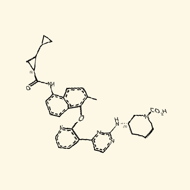 Cc1ccc2c(NC(=O)[C@H]3CC3C3CC3)cccc2c1Oc1ncccc1-c1ccnc(N[C@H]2CCCN(C(=O)O)C2)n1